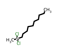 CCCCCCCCCC[Si](C)(Cl)Cl